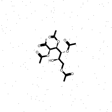 CC(=O)OC[C@@H](O)[C@@H](OC(C)=O)[C@H](OC(C)=O)[C@@H](OC(C)=O)C(=O)F